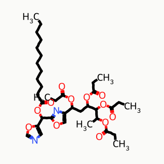 CCCCCCCCCCCC(=O)OC(c1cnco1)c1nc(C(CC(OC(=O)CC)C(OC(=O)CC)C(C)OC(=O)CC)OC(=O)CC)co1